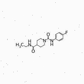 CCNC(=O)C1CCN(C(=O)Nc2ccc(F)cc2)CC1